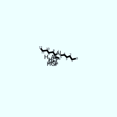 CCCCC[CH2][Al][CH2]CCCCC.Cl.Cl.Cl.[CH3][AlH2]